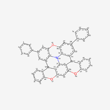 c1ccc(-c2cc3c4c(c2)B2c5ccccc5Oc5cc6c7c(c52)N4c2c(cc(-c4ccccc4)cc2B7c2ccccc2O6)O3)cc1